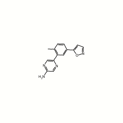 Cc1ccc(-c2ccno2)cc1-c1cnc(N)cn1